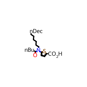 CCCCCCCCCCCCCCCCN(C(=O)CCCC)c1ccc(C(=O)O)s1